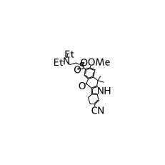 CCN(CC)CCS(=O)(=O)c1cc2c(cc1OC)C(C)(C)c1[nH]c3c(c1C2=O)CCC(C#N)=C3